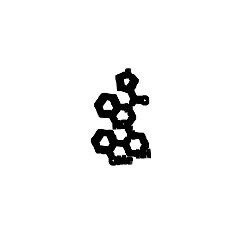 COc1ccccc1C1CNCCN1CCN(C(=O)c1ccsc1)c1ccccc1[N+](=O)[O-]